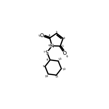 O=C1C=CC(=O)N1SC1CCCCC1